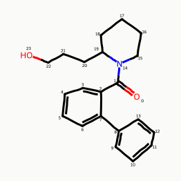 O=C(c1ccccc1-c1ccccc1)N1CCCCC1CCCO